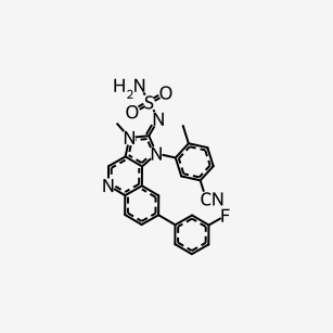 Cc1ccc(C#N)cc1-n1/c(=N/S(N)(=O)=O)n(C)c2cnc3ccc(-c4cccc(F)c4)cc3c21